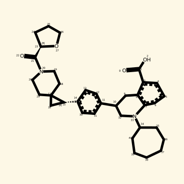 O=C(O)c1cccc2c1CC(c1ccc([C@@H]3CC34CCN(C(=O)[C@H]3CCCO3)CC4)cc1)CN2C1CCCCCC1